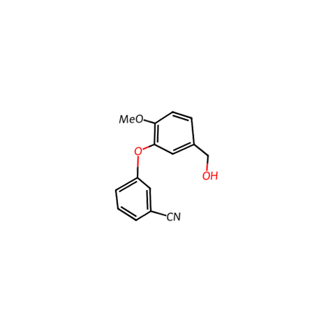 COc1ccc(CO)cc1Oc1cccc(C#N)c1